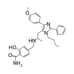 CCCCn1c(-c2ccccc2)nc(-c2ccc(OC)cc2)c1CC(C)NCc1ccc(C(N)=O)c(O)c1